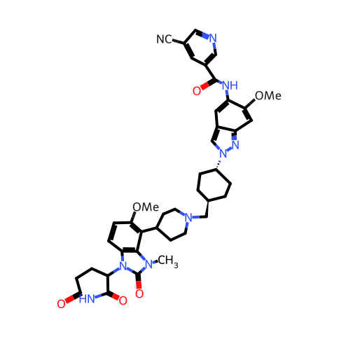 COc1cc2nn([C@H]3CC[C@H](CN4CCC(c5c(OC)ccc6c5n(C)c(=O)n6C5CCC(=O)NC5=O)CC4)CC3)cc2cc1NC(=O)c1cncc(C#N)c1